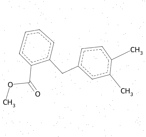 COC(=O)c1ccccc1Cc1ccc(C)c(C)c1